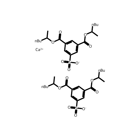 CCCCC(C)OC(=O)c1cc(C(=O)OC(C)CCCC)cc(S(=O)(=O)[O-])c1.CCCCC(C)OC(=O)c1cc(C(=O)OC(C)CCCC)cc(S(=O)(=O)[O-])c1.[Ca+2]